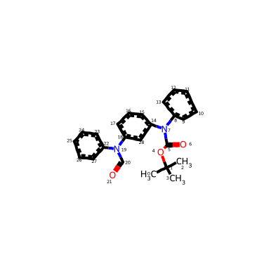 CC(C)(C)OC(=O)N(c1ccccc1)c1cccc(N([C]=O)c2ccccc2)c1